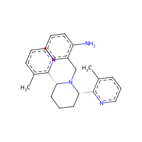 Cc1cccnc1[C@H]1CCC[C@@H](c2ncccc2C)N1Cc1ccccc1N